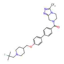 CC(C)(F)CN1CCC(COc2ccc(-c3ccc(C(=O)N4CCn5c(nnc5C(F)(F)F)C4)cc3)cc2)CC1